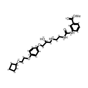 COC(=O)c1cccc(NC(=O)NCCNCC(O)COc2ccc(OCCOC3CCCC3)cc2)c1